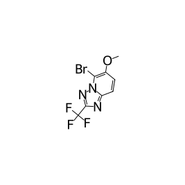 COc1ccc2nc(C(F)(F)F)nn2c1Br